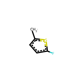 [CH2]c1ccc(F)s1